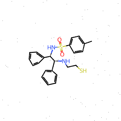 Cc1ccc(S(=O)(=O)N[C@H](c2ccccc2)[C@@H](NCCS)c2ccccc2)cc1